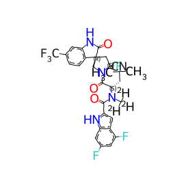 [2H]C([2H])([2H])N(C(=O)c1cc2c(F)cc(F)cc2[nH]1)[C@@H](CC(C)(C)F)C(=O)N1C[C@]2(C[C@H]1C#N)C(=O)Nc1cc(C(F)(F)F)ccc12